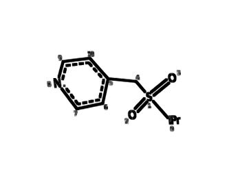 CC(C)S(=O)(=O)Cc1ccncc1